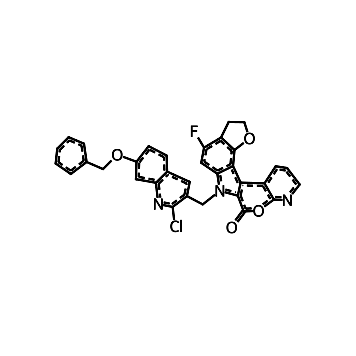 O=c1oc2ncccc2c2c3c4c(c(F)cc3n(Cc3cc5ccc(OCc6ccccc6)cc5nc3Cl)c12)CCO4